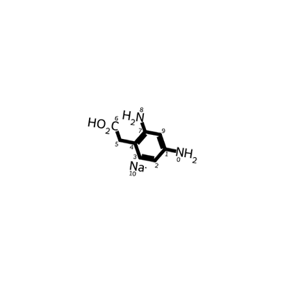 Nc1ccc(CC(=O)O)c(N)c1.[Na]